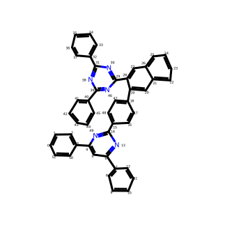 c1ccc(-c2cc(-c3ccccc3)nc(-c3ccc(-c4cc5ccccc5cc4-c4nc(-c5ccccc5)nc(-c5ccccc5)n4)cc3)n2)cc1